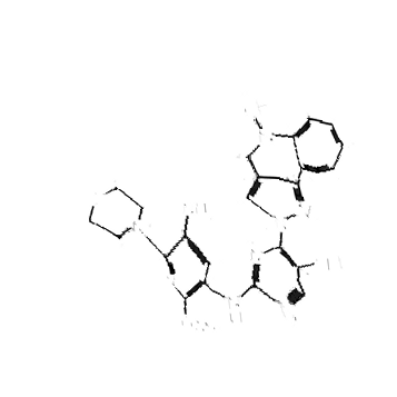 COc1nc(N2CCOCC2)c(N)cc1Nc1ncc(C)c(-n2cc3c(n2)-c2ccccc2N(C)C3)n1